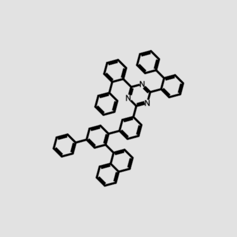 c1ccc(-c2ccc(-c3cccc(-c4nc(-c5ccccc5-c5ccccc5)nc(-c5ccccc5-c5ccccc5)n4)c3)c(-c3cccc4ccccc34)c2)cc1